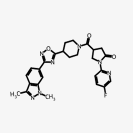 Cc1nn(C)c2cc(-c3noc(C4CCN(C(=O)C5CC(=O)N(c6ccc(F)cn6)C5)CC4)n3)ccc12